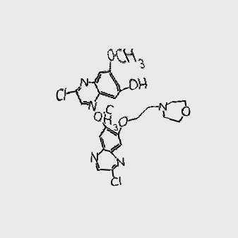 COc1cc2nc(Cl)cnc2cc1O.COc1cc2ncc(Cl)nc2cc1OCCN1CCOCC1